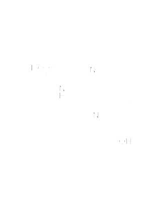 O=C(O)Nc1nccc(O)n1